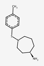 Cc1ccc(SN2CCC[C@@H](N)CC2)cc1